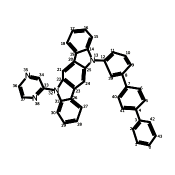 c1ccc(-c2ccc(-c3cccc(-n4c5ccccc5c5cc6c(cc54)c4ccccc4n6-c4cnccn4)c3)cc2)cc1